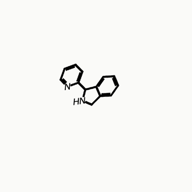 c1ccc(C2NCc3ccccc32)nc1